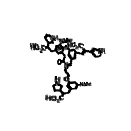 CNc1cc(CC(=O)N(CCOc2cc(CC(C(=O)O)C3CCNC3)cc(NC)c2)Cc2cc(CC(C(=O)O)C3CCNC3)cc(NC)c2)cc(CC(C(=O)O)C2CCNC2)c1